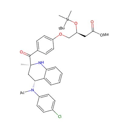 COC(=O)C[C@@H](COc1ccc(C(=O)[C@]2(C)C[C@@H](N(C(C)=O)c3ccc(Cl)cc3)c3ccccc3N2)cc1)O[Si](C)(C)C(C)(C)C